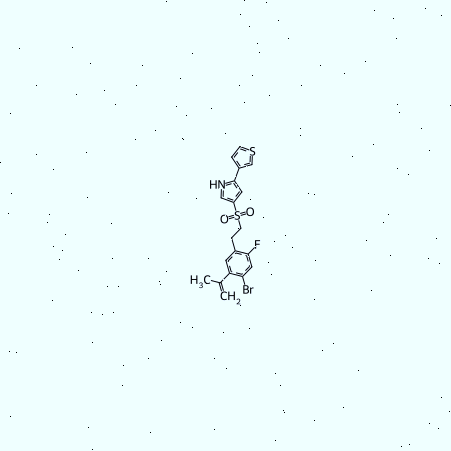 C=C(C)c1cc(CCS(=O)(=O)c2c[nH]c(-c3ccsc3)c2)c(F)cc1Br